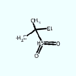 [CH2]C(C)(CC)[SH](=O)=O